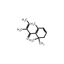 CC=C(C)C(=O)C1=C(C)C=CCC1(C)C